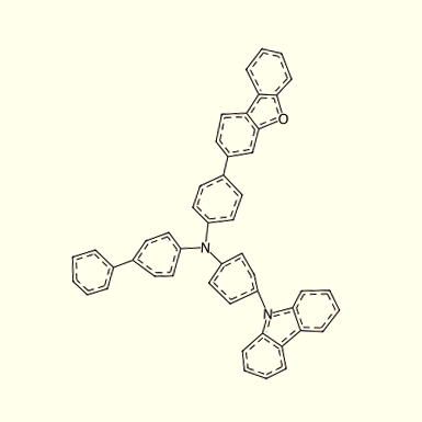 c1ccc(-c2ccc(N(c3ccc(-c4ccc5c(c4)oc4ccccc45)cc3)c3ccc(-n4c5ccccc5c5ccccc54)cc3)cc2)cc1